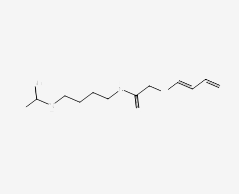 C=C/C=C/OCC(=O)NCCCCNC(CC)CCC